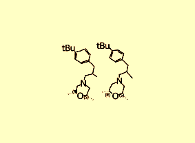 CC(Cc1ccc(C(C)(C)C)cc1)CN1C[C@@H](C)O[C@@H](C)C1.CC(Cc1ccc(C(C)(C)C)cc1)CN1C[C@@H](C)O[C@@H](C)C1